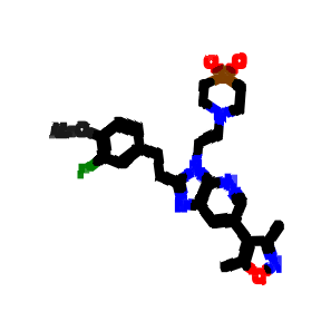 COc1ccc(CCc2nc3cc(-c4c(C)noc4C)cnc3n2CCN2CCS(=O)(=O)CC2)cc1F